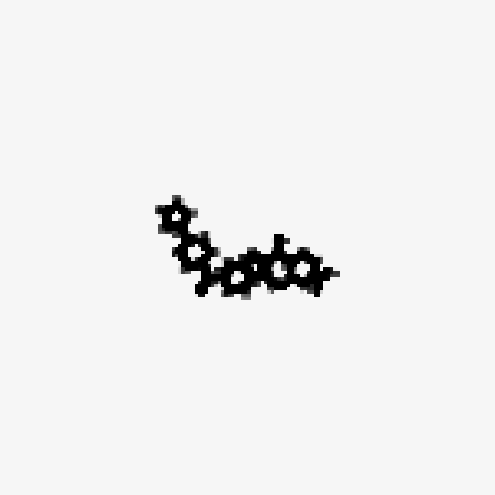 CC(C)n1c(C(=O)N2CCC(F)(F)CC2)cc2cc(C(=O)N3CCN(C4CCCC4)CC3)ccc21